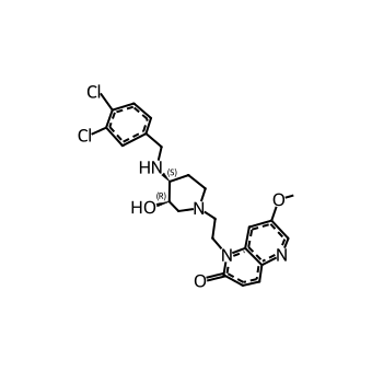 COc1cnc2ccc(=O)n(CCN3CC[C@H](NCc4ccc(Cl)c(Cl)c4)[C@H](O)C3)c2c1